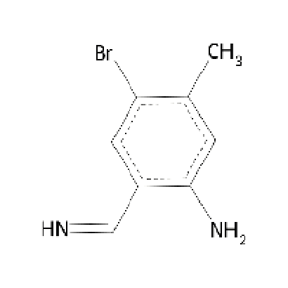 Cc1cc(N)c(C=N)cc1Br